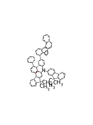 CC1(C)c2ccccc2-c2ccc(N(c3ccc4c(c3)C(C)(C)c3ccccc3-4)c3ccc(-c4cccc5c4oc4ccc6ccccc6c45)cc3-c3ccccc3-c3ccccc3)cc21